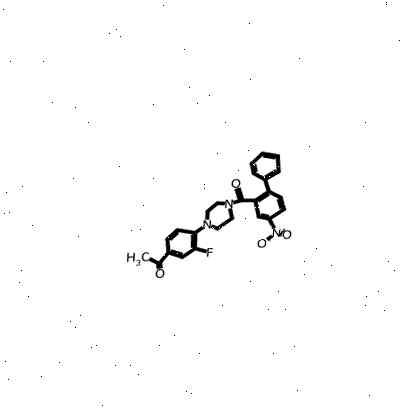 CC(=O)c1ccc(N2CCN(C(=O)c3cc([N+](=O)[O-])ccc3-c3ccccc3)CC2)c(F)c1